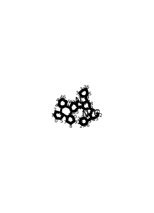 c1ccc2c(c1)-c1ccccc1-c1cc3c4c5c(cc6c7cccc8c9ccccc9n(c87)c64)c4ccccc4n5c3cc1-c1ccccc1-2